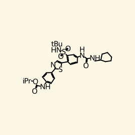 CC(C)OC(=O)Nc1ccc(-c2ncc(-c3ccc(NC(=O)NCC4CCCCC4)cc3S(=O)(=O)NC(C)(C)C)s2)cc1